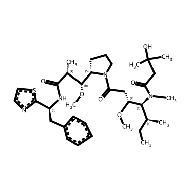 CC[C@H](C)[C@@H]([C@@H](CC(=O)N1CCC[C@H]1[C@H](OC)[C@@H](C)C(=O)N[C@@H](Cc1ccccc1)c1nccs1)OC)N(C)C(=O)CC(C)(C)O